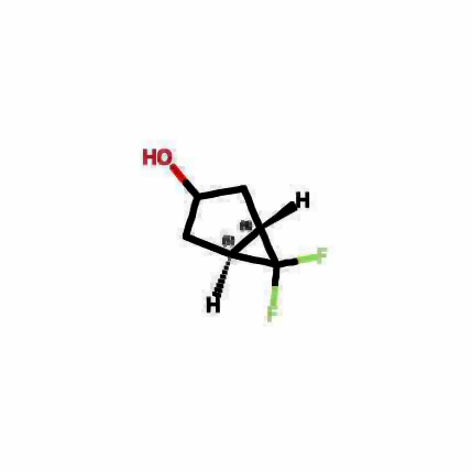 OC1C[C@H]2[C@H](C1)C2(F)F